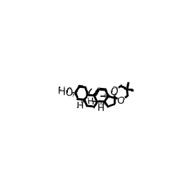 CC1(C)COC2(CC[C@H]3[C@@H]4CC[C@H]5C[C@H](O)CC[C@]5(C)C4=CC[C@@]32C)OC1